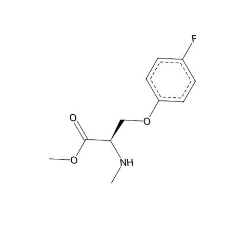 CN[C@H](COc1ccc(F)cc1)C(=O)OC